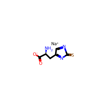 N[C@@H](CC1=NC(=S)N=C1)C(=O)[O-].[Na+]